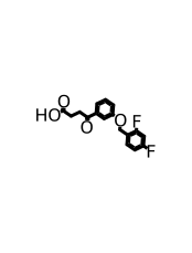 O=C(O)CCC(=O)c1cccc(OCc2ccc(F)cc2F)c1